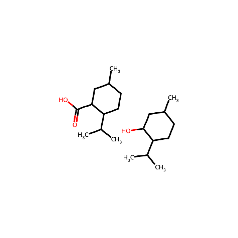 CC1CCC(C(C)C)C(C(=O)O)C1.CC1CCC(C(C)C)C(O)C1